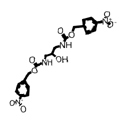 O=C(NCC(O)CNC(=O)OCc1ccc([N+](=O)[O-])cc1)OCc1ccc([N+](=O)[O-])cc1